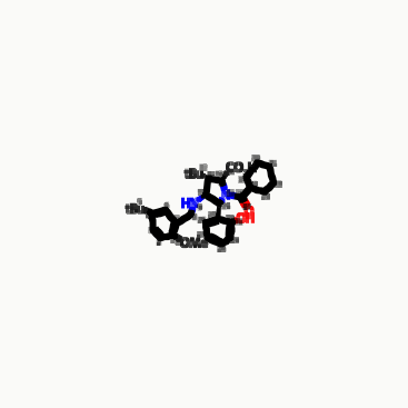 COc1ccc(C(C)(C)C)cc1CN[C@H]1[C@H](C(C)(C)C)[C@@H](C(=O)O)N(C(=O)C2CCCCC2)[C@H]1c1ccccc1O